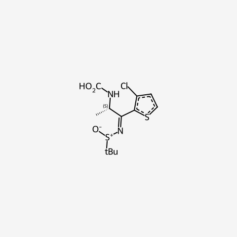 C[C@H](NC(=O)O)C(=N[S+]([O-])C(C)(C)C)c1sccc1Cl